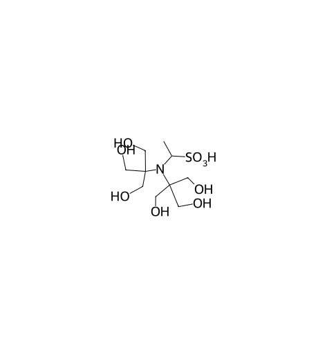 CC(N(C(CO)(CO)CO)C(CO)(CO)CO)S(=O)(=O)O